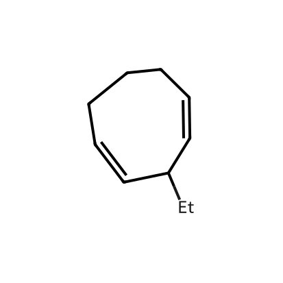 CCC1C=CCCCC=C1